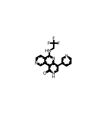 O=c1[nH]cc(-c2cccnc2)c2nc(NCC(F)(F)F)c3ccncc3c12